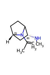 C=C(C)N1C2CC[C@H]1C[C@H]2NC